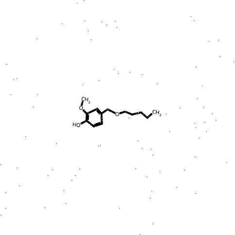 CCCCCOCc1ccc(O)c(OC)c1